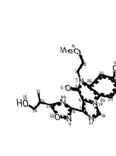 COCCn1c(=O)c2c(-c3noc(C(C)CO)n3)ncn2c2ccc(Cl)cc21